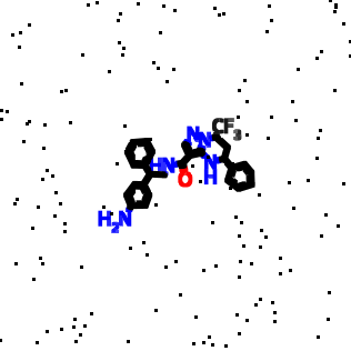 Nc1ccc(C(CNC(=O)c2cnn3c2NC(c2ccccc2)CC3C(F)(F)F)c2ccccc2)cc1